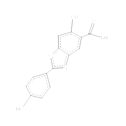 NC(=O)c1cc2nc(-c3ccc(O)cc3)oc2cc1O